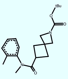 Cc1ccccc1N(C)C(=O)C1CC2(C1)CN(C(=O)OC(C)(C)C)C2